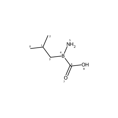 CC(C)CB(N)C(=O)O